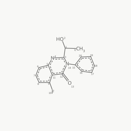 CC(O)c1nc2cccc(F)c2c(=O)n1-c1ccccc1